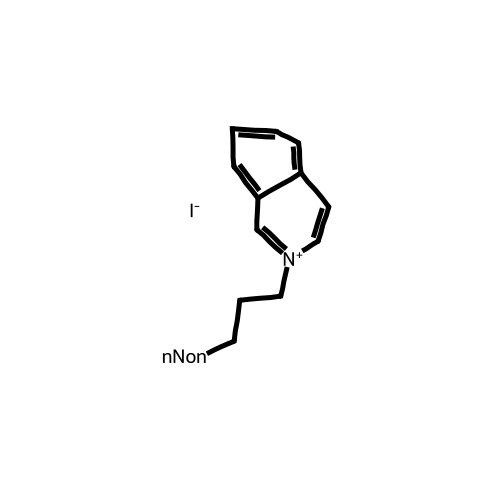 CCCCCCCCCCCC[n+]1ccc2ccccc2c1.[I-]